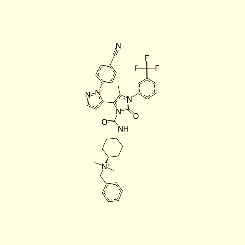 Cc1c(-c2ccnn2-c2ccc(C#N)cc2)n(C(=O)N[C@H]2CC[C@H]([N+](C)(C)Cc3ccccc3)CC2)c(=O)n1-c1cccc(C(F)(F)F)c1